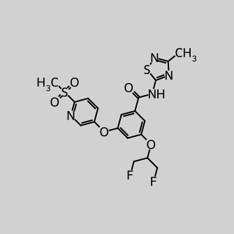 Cc1nsc(NC(=O)c2cc(Oc3ccc(S(C)(=O)=O)nc3)cc(OC(CF)CF)c2)n1